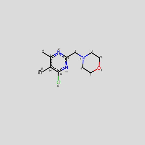 Cc1nc(CN2CCOCC2)nc(Cl)c1C(C)C